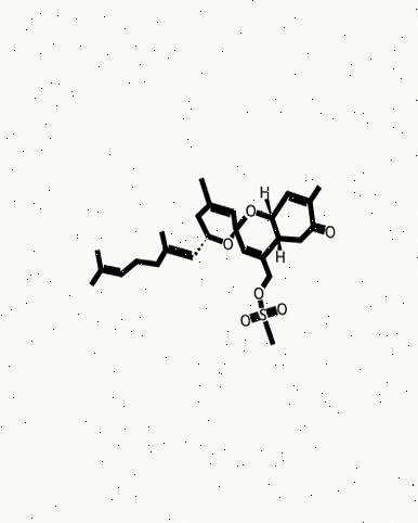 CC(C)=CCC/C(C)=C/[C@@H]1CC(C)=C[C@]2(C=C(COS(C)(=O)=O)[C@H]3CC(=O)C(C)=C[C@H]3O2)O1